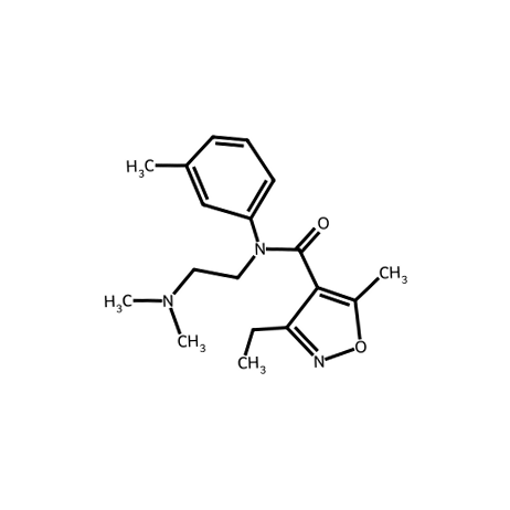 CCc1noc(C)c1C(=O)N(CCN(C)C)c1cccc(C)c1